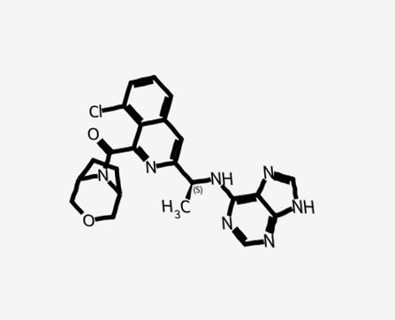 C[C@H](Nc1ncnc2[nH]cnc12)c1cc2cccc(Cl)c2c(C(=O)N2C3CCC2COC3)n1